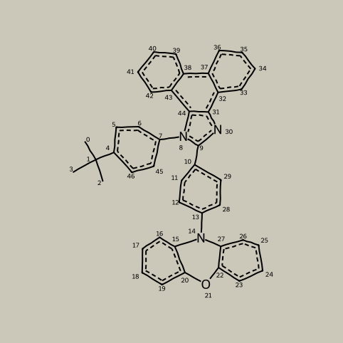 CC(C)(C)c1ccc(-n2c(-c3ccc(N4c5ccccc5Oc5ccccc54)cc3)nc3c4ccccc4c4ccccc4c32)cc1